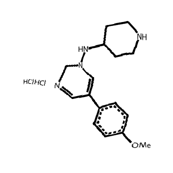 COc1ccc(C2=CN(NC3CCNCC3)CN=C2)cc1.Cl.Cl